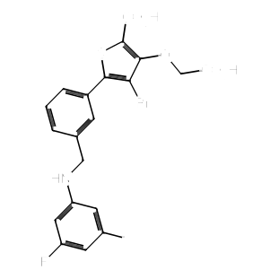 O=C(O)COc1c(C(=O)O)sc(-c2cccc(CNc3cc(F)cc(F)c3)c2)c1Br